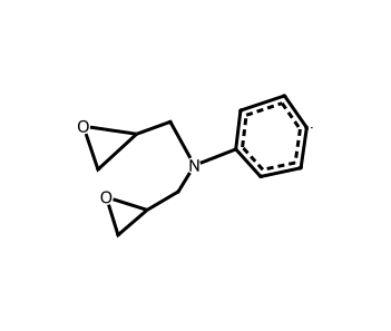 [c]1ccc(N(CC2CO2)CC2CO2)cc1